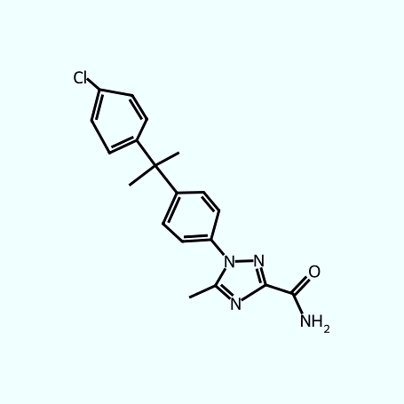 Cc1nc(C(N)=O)nn1-c1ccc(C(C)(C)c2ccc(Cl)cc2)cc1